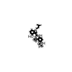 CC(C)CCn1cc(C2=NS(=O)(=O)c3cc(NS(C)(=O)=O)ccc3N2)c2c(O)cccc21